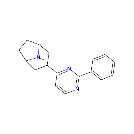 CN1C2CCC1CC(c1ccnc(-c3ccccc3)n1)C2